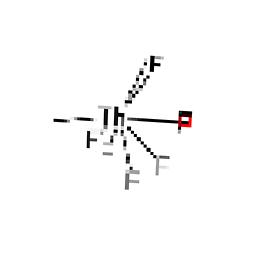 [CH3][Th]([CH3])([F])([F])([F])([F])([F])([F])[F]